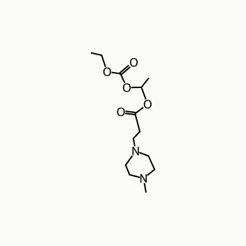 CCOC(=O)OC(C)OC(=O)CCN1CCN(C)CC1